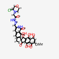 COC1=CC(=O)c2c(O)c3c(c(O)c2C1=O)C(=O)[C@]1(CCc2cc4cc(C=NNC(=O)CN5CCOCC5Cl)[nH]c(=O)c4c(O)c21)C3=O